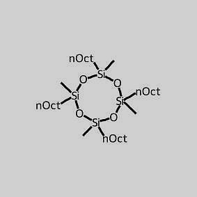 CCCCCCCC[Si]1(C)O[Si](C)(CCCCCCCC)O[Si](C)(CCCCCCCC)O[Si](C)(CCCCCCCC)O1